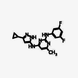 Cc1cc(Nc2cc(C3CC3)n[nH]2)nc(Nc2cc(F)cc(F)c2)n1